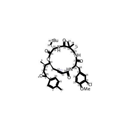 [CH2]c1ccc([C@H]2O[C@@H]2[C@@H](C)[C@@H]2C/C=C/C(=O)N[C@H](Cc3ccc(OC)c(Cl)c3)C(=O)N[C@@H](C)C(C)(C)C(=O)N[C@@H](CC(C)(C)C)C(=O)O2)cc1